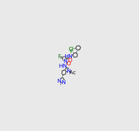 CC(=O)n1cc(NC(=O)N2C[C@H](F)C[C@H]2C(=O)Nc2cccc(-c3ccccc3Cl)c2F)c2ccc(-c3cnc(C)nc3)cc21